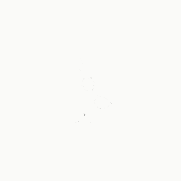 Cc1c(-c2cc3c(cc2F)N(C)C(=O)CC3)cncc1C(C)N[S@+]([O-])C(C)(C)C